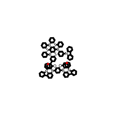 c1ccc(B2c3ccccc3Sc3c2c2c(c4c3B(c3ccccc3)c3cc(-c5cccc6c5Oc5c(ccc7c5Oc5ccccc5B7c5cccc7c8ccccc8n(-c8ccccc8)c57)B6c5cccc6c7ccccc7n(-c7ccccc7)c56)ccc3S4)B(c3cccc(-n4c5ccccc5c5ccccc54)c3)c3ccccc3S2)cc1